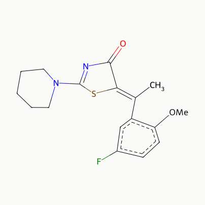 COc1ccc(F)cc1/C(C)=C1\SC(N2CCCCC2)=NC1=O